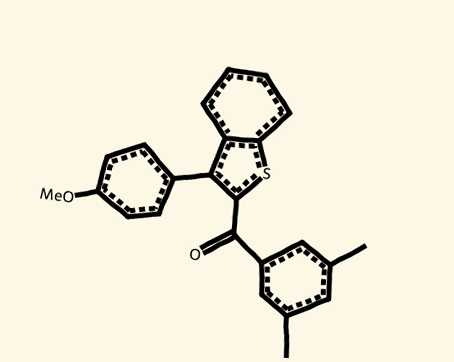 COc1ccc(-c2c(C(=O)c3cc(C)cc(C)c3)sc3ccccc23)cc1